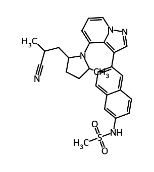 CC(C#N)CC1CCC(C)N1c1cccn2ncc(-c3ccc4cc(NS(C)(=O)=O)ccc4c3)c12